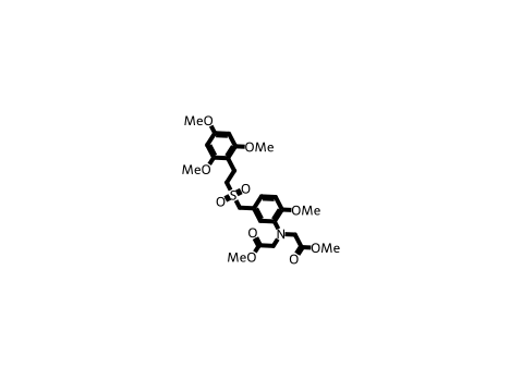 COC(=O)CN(CC(=O)OC)c1cc(CS(=O)(=O)CCc2c(OC)cc(OC)cc2OC)ccc1OC